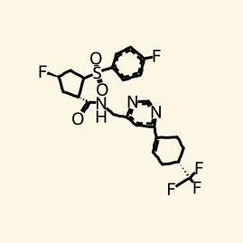 O=C(NCc1cc(C2=CC[C@@H](C(F)(F)F)CC2)ncn1)[C@@H]1C[C@@H](F)CC1S(=O)(=O)c1ccc(F)cc1